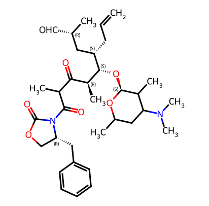 C=CC[C@@H](C[C@@H](C)C=O)[C@H](O[C@@H]1OC(C)CC(N(C)C)C1C)[C@@H](C)C(=O)C(C)C(=O)N1C(=O)OC[C@H]1Cc1ccccc1